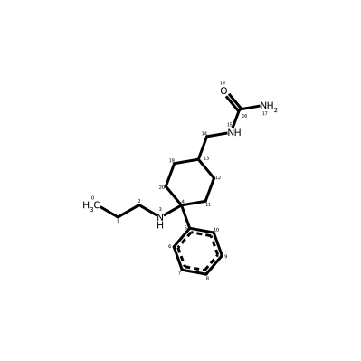 CCCNC1(c2ccccc2)CCC(CNC(N)=O)CC1